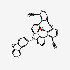 N#Cc1cccc(C#N)c1-c1ccc2c(c1)c1c(-c3c(C#N)cccc3C#N)cccc1n2-c1ccc2oc3ccccc3c2c1